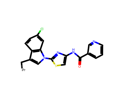 CC(C)Cc1cn(-c2nc(NC(=O)c3cccnc3)cs2)c2cc(Cl)ccc12